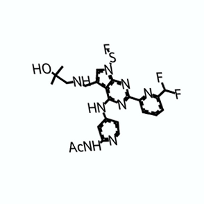 CC(=O)Nc1cc(Nc2nc(-c3cccc(C(F)F)n3)nc3c2c(CNCC(C)(C)O)cn3SF)ccn1